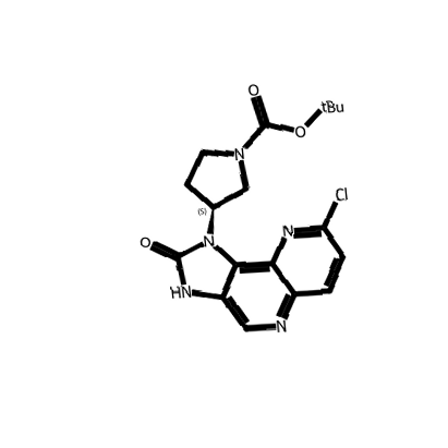 CC(C)(C)OC(=O)N1CC[C@H](n2c(=O)[nH]c3cnc4ccc(Cl)nc4c32)C1